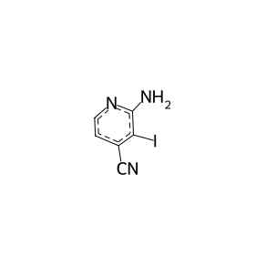 N#Cc1ccnc(N)c1I